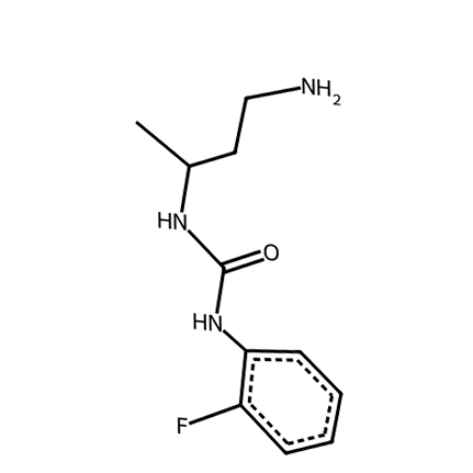 CC(CCN)NC(=O)Nc1ccccc1F